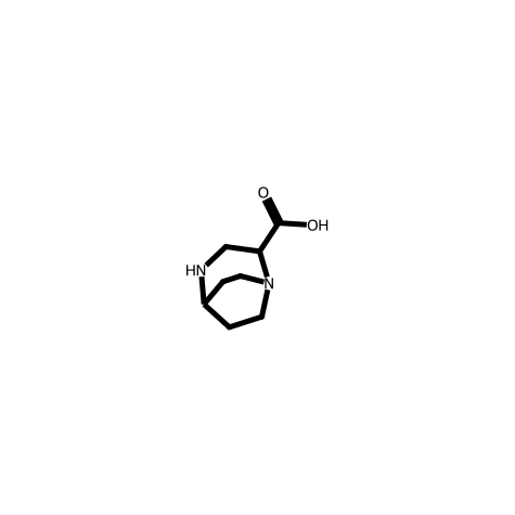 O=C(O)C1CNC2CCN1CC2